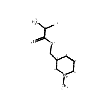 CC(I)C(=O)OCC1CCCN(C)C1